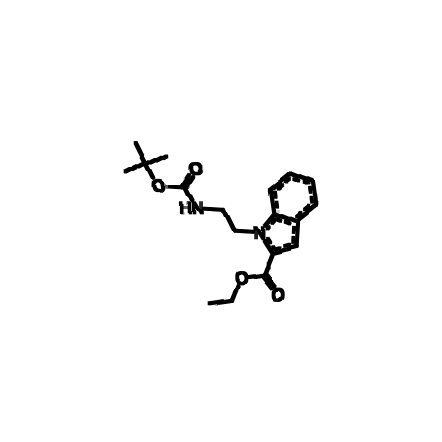 CCOC(=O)c1cc2ccccc2n1CCNC(=O)OC(C)(C)C